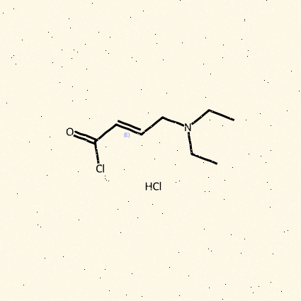 CCN(CC)C/C=C/C(=O)Cl.Cl